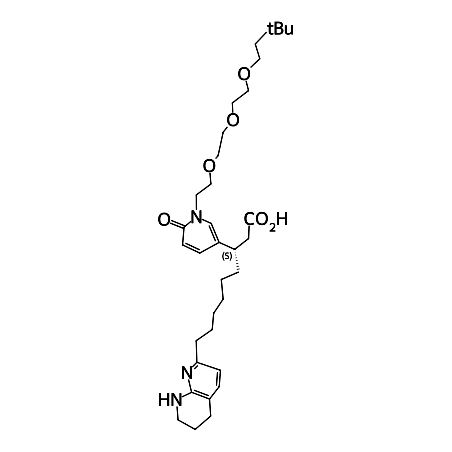 CC(C)(C)CCOCCOCCOCCn1cc([C@@H](CCCCCCc2ccc3c(n2)NCCC3)CC(=O)O)ccc1=O